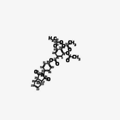 CC(=O)Oc1cc(C(=O)Oc2ccc(N3C(=O)C4C5C=CC(C5)C4C3=O)cc2)cc(OC(C)=O)c1OC(C)=O